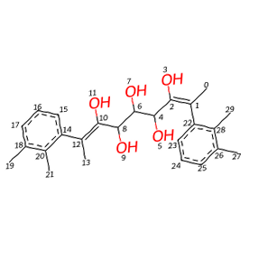 CC(=C(O)C(O)C(O)C(O)C(O)=C(C)c1cccc(C)c1C)c1cccc(C)c1C